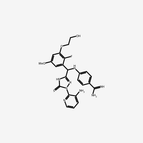 COc1cc(OCCO)c(F)c(C(Nc2ccc(C(=N)N)cc2)c2nn(-c3ncccc3N)c(=S)[nH]2)c1